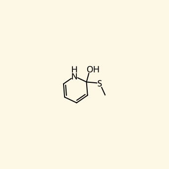 CSC1(O)C=CC=CN1